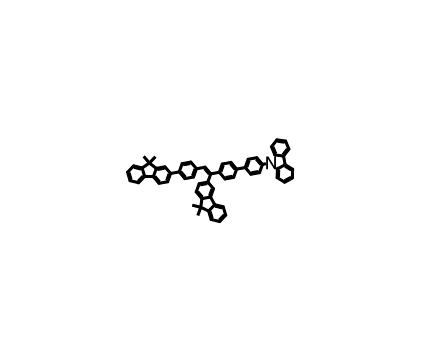 CC1(C)c2ccccc2-c2cc(/C(=C\c3ccc(-c4ccc5c(c4)C(C)(C)c4ccccc4-5)cc3)c3ccc(-c4ccc(-n5c6ccccc6c6ccccc65)cc4)cc3)ccc21